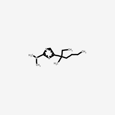 CCCCC(C)(CC)c1csc(N(C)C)n1